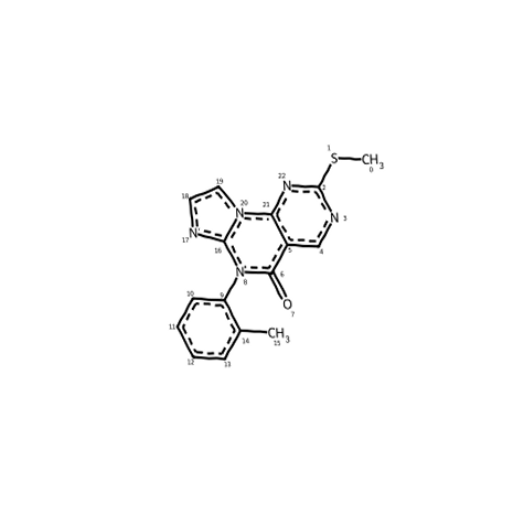 CSc1ncc2c(=O)n(-c3ccccc3C)c3nccn3c2n1